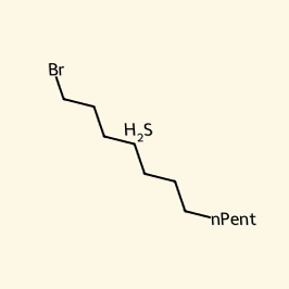 CCCCCCCCCCCCBr.S